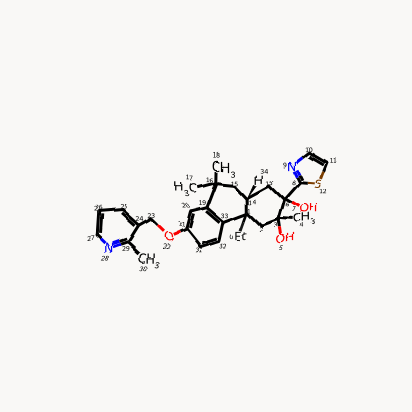 CCC12CC(C)(O)C(O)(c3nccs3)C[C@H]1CC(C)(C)c1cc(OCc3cccnc3C)ccc12